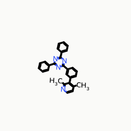 Cc1ccnc(C)c1-c1cccc(-c2nc(-c3ccccc3)nc(-c3ccccc3)n2)c1